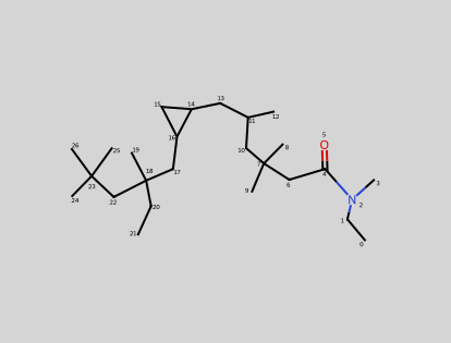 CCN(C)C(=O)CC(C)(C)CC(C)CC1CC1CC(C)(CC)CC(C)(C)C